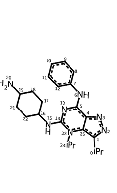 CC(C)c1nnc2c(Nc3ccccc3)nc(NC3CCC(N)CC3)n(C(C)C)c1-2